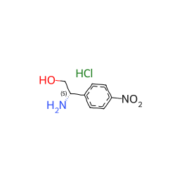 Cl.N[C@H](CO)c1ccc([N+](=O)[O-])cc1